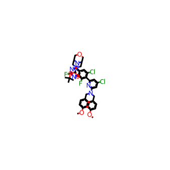 COc1ccc(CN(Cc2ccc(OC)cc2)c2cc(Cl)cc(-c3c(Cl)cc4c(N5C6COCC5CN(C(=O)OC(C)(C)C)C6)nc(F)nc4c3F)n2)cc1